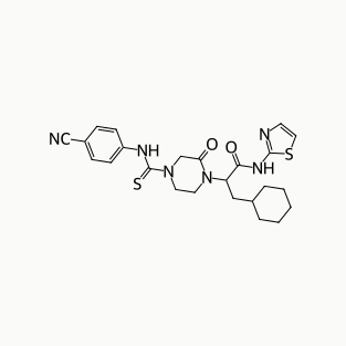 N#Cc1ccc(NC(=S)N2CCN(C(CC3CCCCC3)C(=O)Nc3nccs3)C(=O)C2)cc1